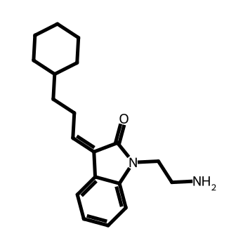 NCCN1C(=O)C(=CCCC2CCCCC2)c2ccccc21